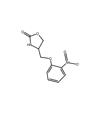 O=C1NC(COc2ccccc2[N+](=O)[O-])CO1